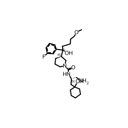 COCCCC[C@@](O)(c1cccc(F)c1)[C@@H]1CCCN(C(=O)N[C@H](CN)CC2(O)CCCCC2)C1